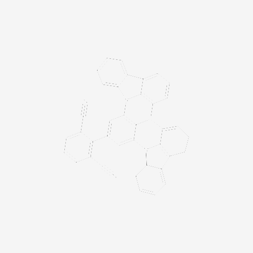 N#Cc1cccc(C#N)c1-c1cc2c3c(c1)-n1c4ccccc4c4cccc(c41)B3C1=CCCc3c1n-2c1ccccc31